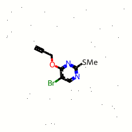 C#CCOc1nc(SC)ncc1Br